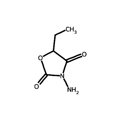 CCC1OC(=O)N(N)C1=O